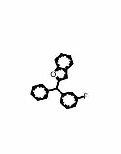 Fc1cccc(C(c2ccccc2)c2cc3ccccc3o2)c1